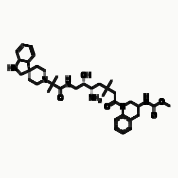 COC(=O)NC1Cc2ccccc2N(C(=O)CC(C)(C)C[C@H](N)[C@@H](O)CNC(=O)C(C)(C)N2CCC3(CC2)CNC2C=CC=CC23)C1